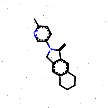 C=C1c2cc3c(cc2CN1c1ccc(C)nc1)CCCC3